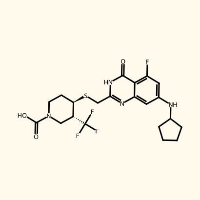 O=C(O)N1CC[C@@H](SCc2nc3cc(NC4CCCC4)cc(F)c3c(=O)[nH]2)[C@H](C(F)(F)F)C1